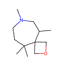 CC1CN(C)CCC(C)(C)C12COC2